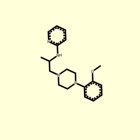 COc1ccccc1N1CCN(CC(C)Nc2ccccn2)CC1